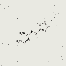 C/C=C\C(N)=C/C(F)c1ccco1